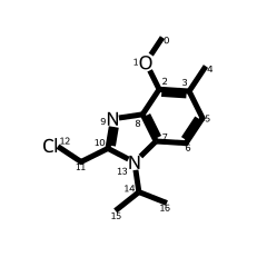 COc1c(C)ccc2c1nc(CCl)n2C(C)C